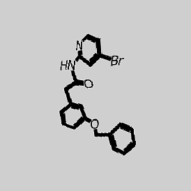 O=C(Cc1cccc(OCc2ccccc2)c1)Nc1cc(Br)ccn1